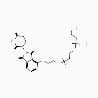 CC(C)(CCO)OCCC(C)(C)OCCNc1cccc2c1C(=O)N(C1CCC(=O)NC1=O)C2=O